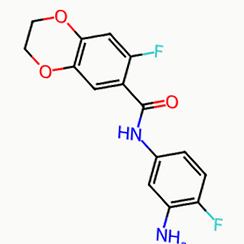 Nc1cc(NC(=O)c2cc3c(cc2F)OCCO3)ccc1F